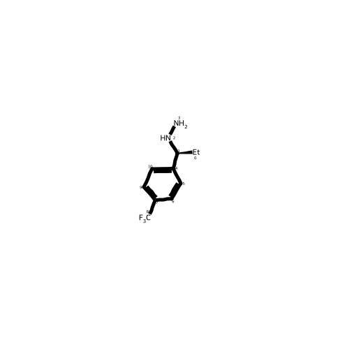 CC[C@H](NN)c1ccc(C(F)(F)F)cc1